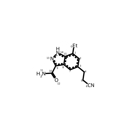 CCc1cc(C[CH]C#N)cc2c(C(N)=O)n[nH]c12